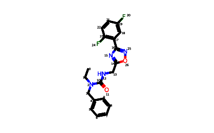 CCN(Cc1ccccc1)C(=O)NCc1nc(-c2cc(F)ccc2F)no1